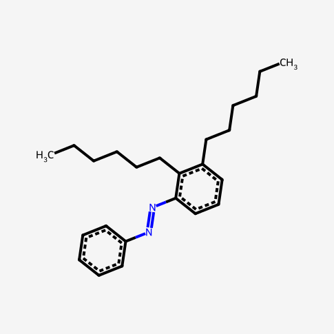 CCCCCCc1cccc(N=Nc2ccccc2)c1CCCCCC